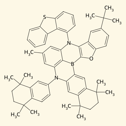 Cc1cc2c3c(c1)N(c1cccc4sc5ccccc5c14)c1c(oc4ccc(C(C)(C)C)cc14)B3c1cc3c(cc1N2c1ccc2c(c1)C(C)(C)CCC2(C)C)C(C)(C)CCC3(C)C